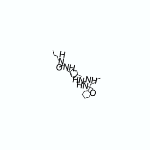 CCCCNC(=O)NCc1ccc(CNC(=N)NC(C=O)(CCCC)C2CCCCC2)cc1